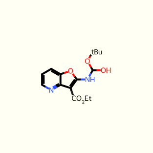 CCOC(=O)c1c(NC(O)OC(C)(C)C)oc2cccnc12